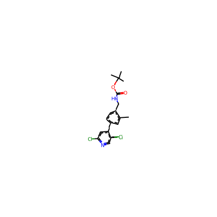 Cc1cc(-c2cc(Cl)ncc2Cl)ccc1CNC(=O)OC(C)(C)C